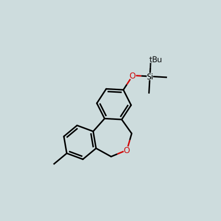 Cc1ccc2c(c1)COCc1cc(O[Si](C)(C)C(C)(C)C)ccc1-2